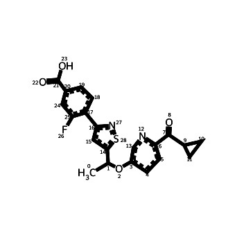 CC(Oc1ccc(C(=O)C2CC2)nc1)c1cc(-c2ccc(C(=O)O)cc2F)ns1